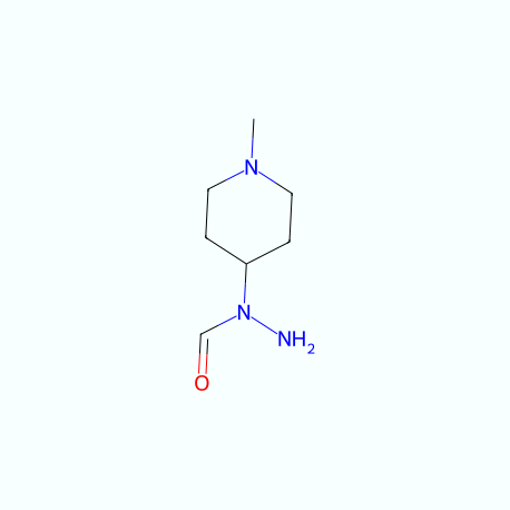 CN1CCC(N(N)C=O)CC1